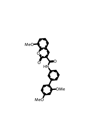 COc1ccc(-c2cccc(NC(=O)c3cc4cccc(OC)c4oc3=O)c2)c(OC)c1